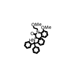 COCCN1C(=O)[C@@H](NC(c2ccccc2)(c2ccccc2)c2ccccc2)Cc2cccc(OC)c21